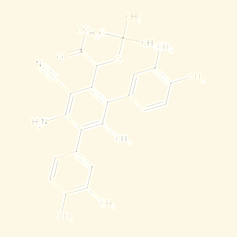 Cc1ccc(-c2c(C)c(-c3ccc(C)c(C)c3)c(C(OC(C)(C)C)C(=O)O)c(C#N)c2N)cc1C